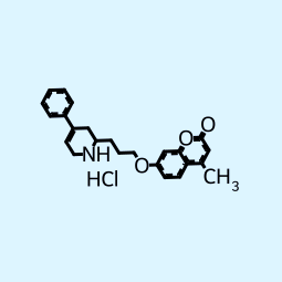 Cc1cc(=O)oc2cc(OCCCC3CC(c4ccccc4)=CCN3)ccc12.Cl